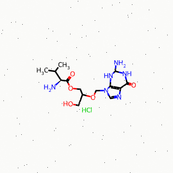 CC(C)[C@H](N)C(=O)OCC(CO)OCn1cnc2c1NC(N)NC2=O.Cl